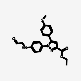 CCOC(=O)c1cc(-c2ccc(SC)cc2)n(-c2ccc(NCC=O)cc2)n1